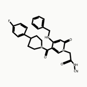 N#CNC(=O)Cn1cc(C(=O)N2CCC(c3ccc(F)cc3)CC2)c(NCc2ccccc2)cc1=O